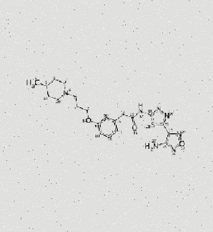 CC1CCN(CCCOc2cccc(CC(=O)Nc3nnc(-c4nonc4N)s3)c2)CC1